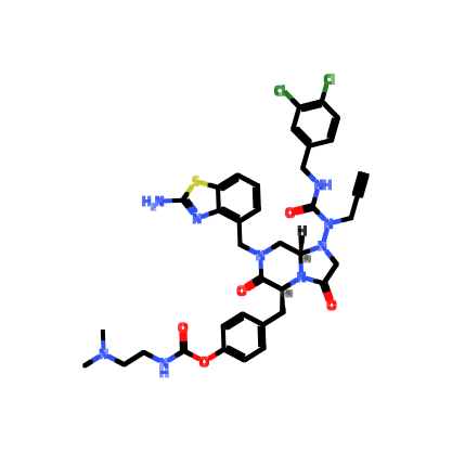 C#CCN(C(=O)NCc1ccc(Cl)c(Cl)c1)N1CC(=O)N2[C@@H](Cc3ccc(OC(=O)NCCN(C)C)cc3)C(=O)N(Cc3cccc4sc(N)nc34)C[C@@H]21